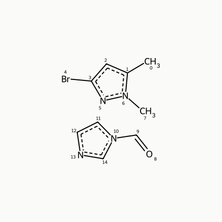 Cc1cc(Br)nn1C.O=Cn1ccnc1